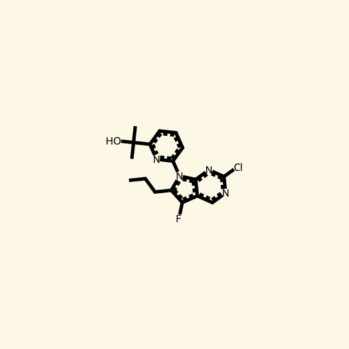 CCCc1c(F)c2cnc(Cl)nc2n1-c1cccc(C(C)(C)O)n1